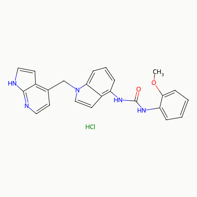 COc1ccccc1NC(=O)Nc1cccc2c1ccn2Cc1ccnc2[nH]ccc12.Cl